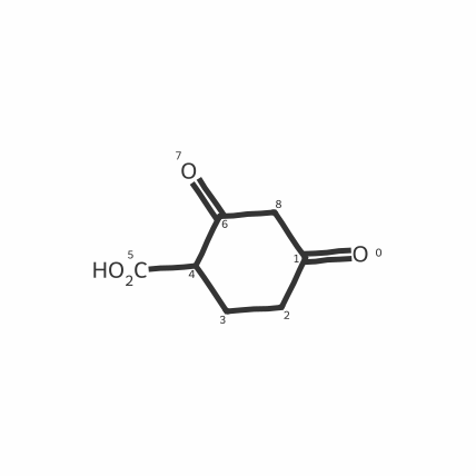 O=C1CCC(C(=O)O)C(=O)C1